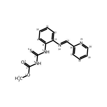 COC(=O)NC(=S)Nc1ccccc1/N=C/c1ccccn1